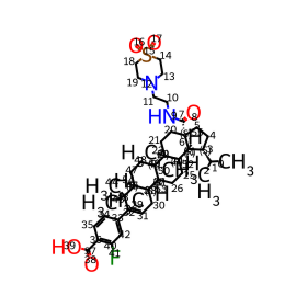 CC(C)[C@@H]1CC[C@]2(C(=O)NCCN3CCS(=O)(=O)CC3)CC[C@]3(C)[C@H](CC[C@@H]4[C@@]5(C)CC=C(c6ccc(C(=O)O)c(F)c6)C(C)(C)[C@@H]5CC[C@]43C)[C@@H]12